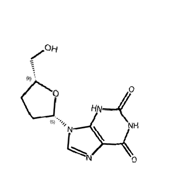 O=c1[nH]c(=O)c2ncn([C@@H]3CC[C@H](CO)O3)c2[nH]1